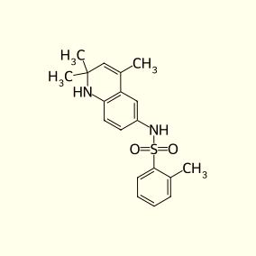 CC1=CC(C)(C)Nc2ccc(NS(=O)(=O)c3ccccc3C)cc21